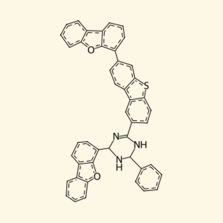 c1ccc(C2NC(c3ccc4sc5cc(-c6cccc7c6oc6ccccc67)ccc5c4c3)=NC(c3cccc4c3oc3ccccc34)N2)cc1